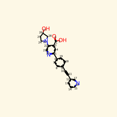 O=C(O)c1cc(-c2ccc(C#Cc3cccnc3)cc2)ncc1N1CCC(O)C1